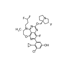 C[C@H]1COc2nc(-c3cc(O)cc(Cl)c3C3CC3)c(F)c3nc(OC[C@@]45CCCN4C[C@H](F)C5)nc(c23)N1CCC(F)F